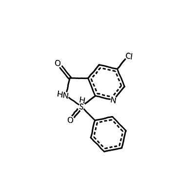 O=C1N[SH](=O)(c2ccccc2)c2ncc(Cl)cc21